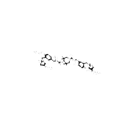 COc1cnn(Cc2cc(CNC(=O)N3CC4(C)CN(C(=O)NCc5ccc(OC)c(Cn6cc(OC)cn6)c5)CC(C)(C3)C4)ccc2OC)c1